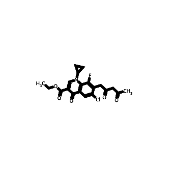 CCOC(=O)c1cn(C2CC2)c2c(F)c(CC(=O)CC(C)=O)c(Cl)cc2c1=O